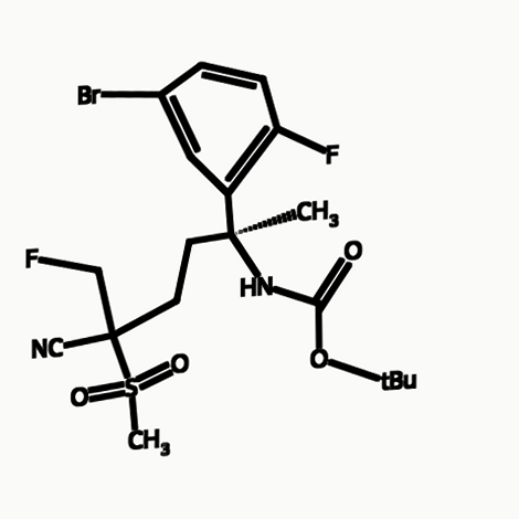 CC(C)(C)OC(=O)N[C@@](C)(CCC(C#N)(CF)S(C)(=O)=O)c1cc(Br)ccc1F